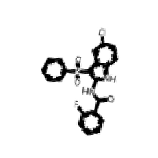 O=C(Nc1[nH]c2ccc(Cl)cc2c1S(=O)(=O)c1ccccc1)c1ccccc1F